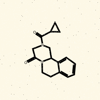 O=C(C1CC1)N1CC(=O)N2CCc3ccccc3C2C1